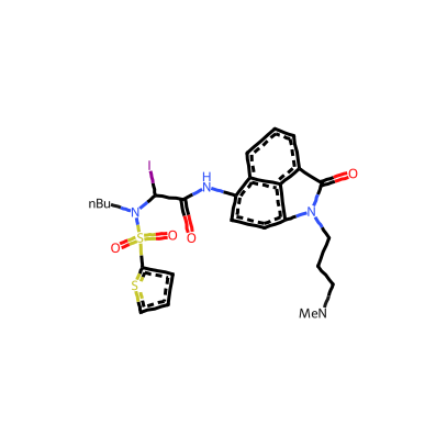 CCCCN(C(I)C(=O)Nc1ccc2c3c(cccc13)C(=O)N2CCCNC)S(=O)(=O)c1cccs1